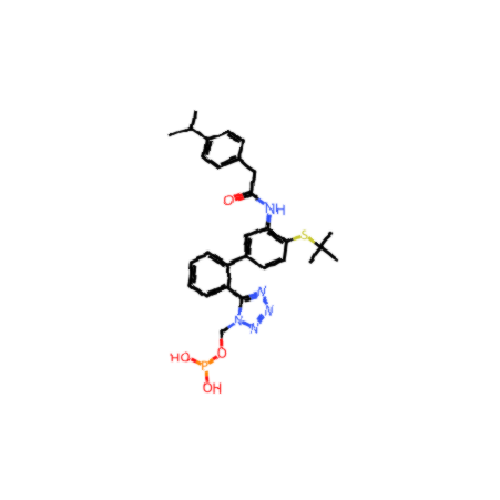 CC(C)c1ccc(CC(=O)Nc2cc(-c3ccccc3-c3nnnn3COP(O)O)ccc2SC(C)(C)C)cc1